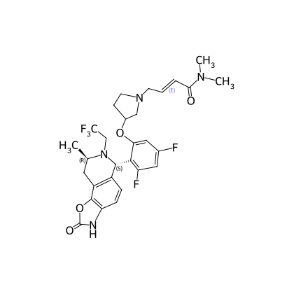 C[C@@H]1Cc2c(ccc3[nH]c(=O)oc23)[C@@H](c2c(F)cc(F)cc2OC2CCN(C/C=C/C(=O)N(C)C)C2)N1CC(F)(F)F